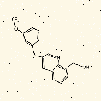 OCc1cccc2cc(Cc3cccc(OC(F)(F)F)c3)cnc12